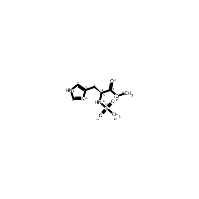 COC(=O)[C@H](Cc1c[nH]cn1)NS(C)(=O)=O